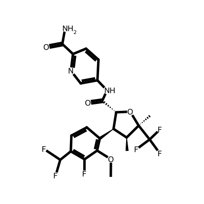 COc1c([C@H]2[C@H](C(=O)Nc3ccc(C(N)=O)nc3)O[C@@](C)(C(F)(F)F)[C@H]2C)ccc(C(F)F)c1F